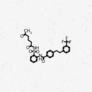 CC(=O)CCCC(=O)NS(=O)(=O)c1ccccc1NC(=O)c1ccc(CCc2cccc(C(F)(F)F)c2)cc1